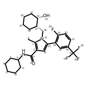 Cc1c(C(=O)NC2CCCCC2)cc(-c2cc(C(F)(F)F)ccc2F)n1C[C@@H]1CCCC[C@@H]1O